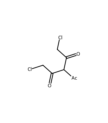 CC(=O)C(C(=O)CCl)C(=O)CCl